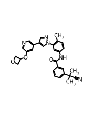 Cc1ccc(NC(=O)c2cccc(C(C)(C)C#N)c2)cc1-n1cc(-c2cncc(OC3COC3)c2)cn1